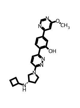 COc1cc(-c2ccc(-c3ccc(N4CC[C@H](NC5CCC5)C4)nn3)c(O)c2)ncn1